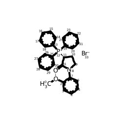 COc1ccccc1N1CC[C@@H]([P+](c2ccccc2)(c2ccccc2)c2ccccc2)C1=O.[Br-]